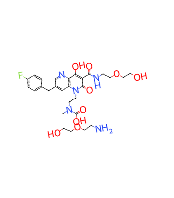 CN(CCn1c(=O)c(C(=O)NCCOCCO)c(O)c2ncc(Cc3ccc(F)cc3)cc21)C(=O)O.NCCOCCO